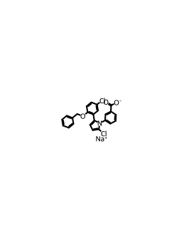 O=C([O-])c1cccc(-n2c(Cl)ccc2-c2cc(Cl)ccc2OCc2ccccc2)c1.[Na+]